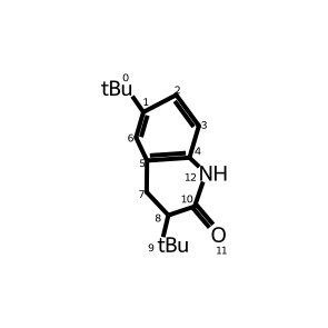 CC(C)(C)c1ccc2c(c1)CC(C(C)(C)C)C(=O)N2